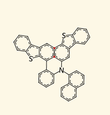 c1ccc(N(c2ccc3sc4ccccc4c3c2)c2cccc3ccccc23)c(-c2cccc3c2sc2ccccc23)c1